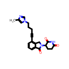 Cc1cn(CCCC#Cc2cccc3c2CN(C2CCC(=O)NC2=O)C3=O)cn1